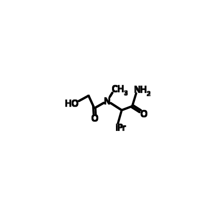 CC(C)C(C(N)=O)N(C)C(=O)CO